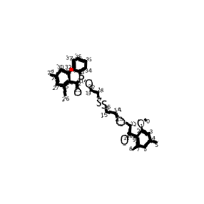 COc1cc(C)cc(C)c1C(=O)COCCSSCCOP(C(=O)c1c(C)cc(C)cc1C)c1ccccc1